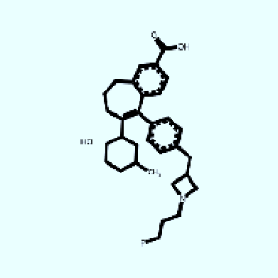 CC1CCCC(C2=C(c3ccc(CC4CN(CCCF)C4)cc3)c3ccc(C(=O)O)cc3CCC2)C1.Cl